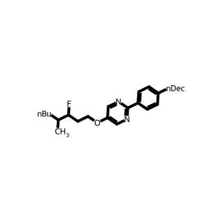 CCCCCCCCCCc1ccc(-c2ncc(OCCC(F)C(C)CCCC)cn2)cc1